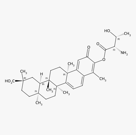 CC1=C(OC(=O)[C@@H](N)[C@@H](C)O)C(=O)C=C2C1=CC=C1[C@@]2(C)CC[C@@]2(C)[C@@H]3C[C@](C)(C(=O)O)CC[C@]3(C)CC[C@]12C